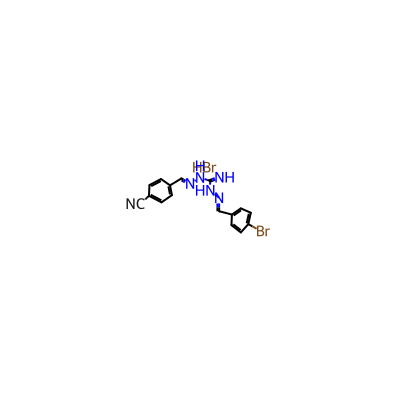 Br.N#Cc1ccc(C=NNC(=N)NN=Cc2ccc(Br)cc2)cc1